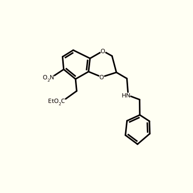 CCOC(=O)Cc1c([N+](=O)[O-])ccc2c1OC(CNCc1ccccc1)CO2